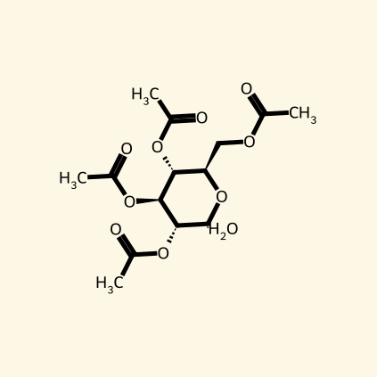 CC(=O)OC[C@H]1O[CH][C@H](OC(C)=O)[C@@H](OC(C)=O)[C@@H]1OC(C)=O.O